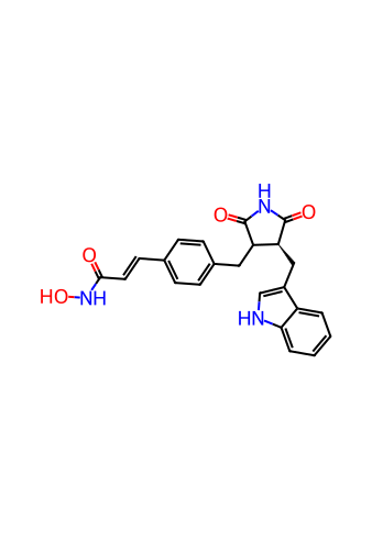 O=C(/C=C/c1ccc(CC2C(=O)NC(=O)[C@H]2Cc2c[nH]c3ccccc23)cc1)NO